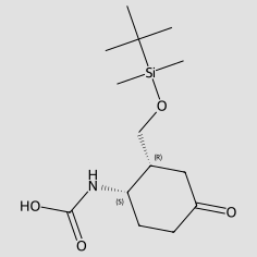 CC(C)(C)[Si](C)(C)OC[C@@H]1CC(=O)CC[C@@H]1NC(=O)O